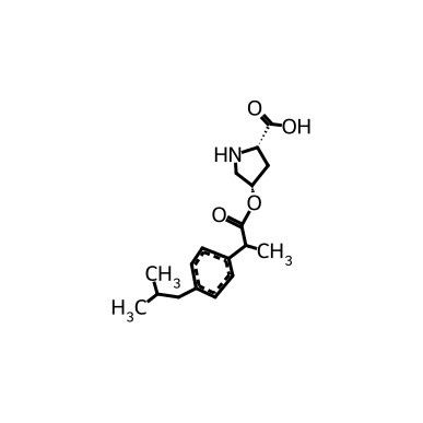 CC(C)Cc1ccc(C(C)C(=O)O[C@@H]2CN[C@H](C(=O)O)C2)cc1